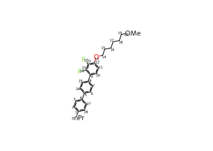 CCCc1ccc(-c2ccc(-c3ccc(OCCCCCCOC)c(F)c3F)cc2)cc1